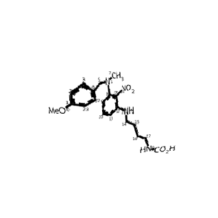 COc1ccc(CN(C)c2cccc(NCCCCNC(=O)O)c2[N+](=O)[O-])cc1